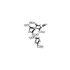 O=C([O-])c1ccc(C(=O)[O-])s1.O=C([O-])c1ccc(C(=O)[O-])s1.O=C([O-])c1ccc(C(=O)[O-])s1.[Al+3].[Al+3]